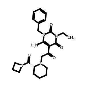 CCn1c(=O)c(C(=O)CN2CCCC[C@@H]2C(=O)N2CCC2)c(N)n(Cc2ccccc2)c1=O